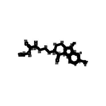 Cn1c2c(c3ccc(Br)nc31)C(=O)N(CCCNC(=O)OC(C)(C)C)CC2